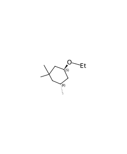 CCO[C@H]1C[C@H](C)CC(C)(C)C1